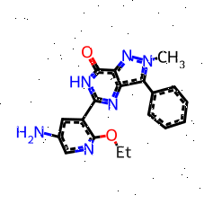 CCOc1ncc(N)cc1-c1nc2c(-c3ccccc3)n(C)nc2c(=O)[nH]1